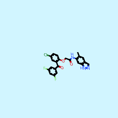 Cc1cc2cn[nH]c2cc1NC(=O)COc1ccc(Cl)cc1C(=O)c1cc(F)cc(F)c1